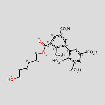 O=C(O)c1cc(C(=O)O)c(C(=O)O)c(-c2cc(C(=O)O)cc(C(=O)OCCCCCCO)c2C(=O)O)c1